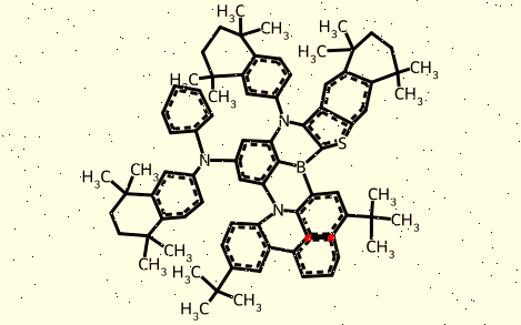 CC(C)(C)c1ccc2c(c1)B1c3sc4cc5c(cc4c3N(c3ccc4c(c3)C(C)(C)CCC4(C)C)c3cc(N(c4ccccc4)c4ccc6c(c4)C(C)(C)CCC6(C)C)cc(c31)N2c1ccc(C(C)(C)C)cc1-c1ccccc1)C(C)(C)CCC5(C)C